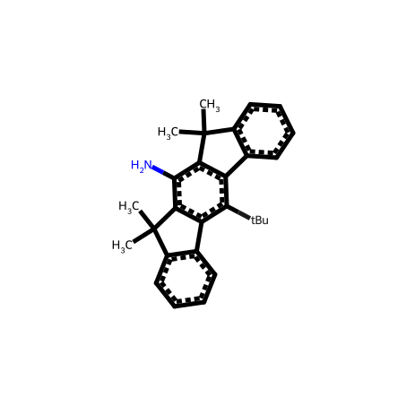 CC(C)(C)c1c2c(c(N)c3c1-c1ccccc1C3(C)C)C(C)(C)c1ccccc1-2